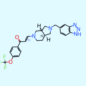 O=C(/C=C/N1CC[C@@H]2CN(Cc3ccc4[nH]nnc4c3)C[C@H]2C1)c1ccc(OC(F)(F)F)cc1